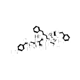 CC(C)CN(CC(O)C(Cc1ccccc1)NC(=O)C(NC(=O)CNC(=O)c1ccc(N)cc1)C(C)(C)C)S(=O)(=O)C1=COC(Cc2ccccc2)O1